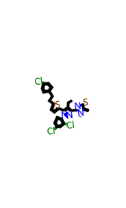 C=C1C(=S)N=C(c2nn(-c3ccc(Cl)cc3Cl)c(-c3ccc(CCc4ccc(Cl)cc4)s3)c2CC)N1C